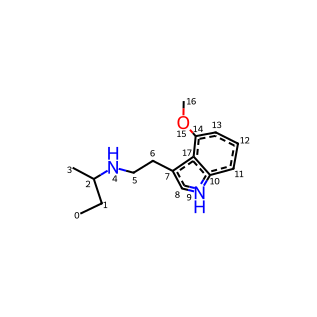 CCC(C)NCCc1c[nH]c2cccc(OC)c12